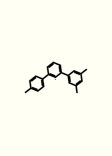 Cc1ccc(-c2[c]c(-c3cc(C)cc(C)c3)ccc2)cc1